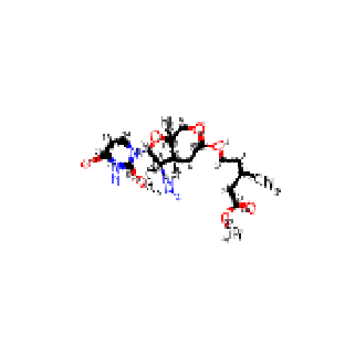 CC(CCO[C@H]1C[C@@H]2[C@@H](CO1)O[C@@H](n1ccc(=O)[nH]c1=O)[C@]2(C)N)CC(=O)OC(C)C